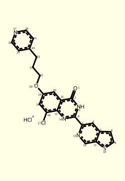 Cl.O=c1[nH]c(-c2cc3ccsc3cn2)nc2c(Cl)cc(OCCCc3ccncc3)cc12